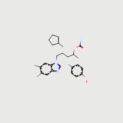 CC(OC(N)=O)[C@H](Nc1ccc(OC(F)(F)F)cc1)[C@@H](CC1CCCC1)Cn1cnc2cc(Cl)c(Cl)cc21